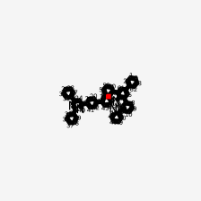 c1ccc(-c2cc(-c3ccccc3)c(-n3c4ccc(-c5ccc(-c6cc(-c7ccccc7)nc(-c7ccccc7)n6)cc5)cc4n4c5ccccc5nc34)c(-c3ccccc3)c2)cc1